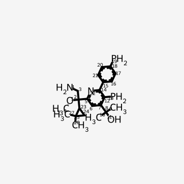 COC(CN)(c1cc(C(C)(C)O)c(P)c(-c2ccc(P)cc2)n1)C1CC1(C)C